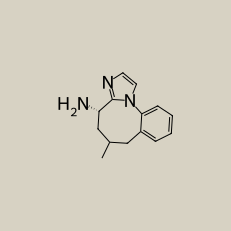 CC1Cc2ccccc2-n2ccnc2[C@@H](N)C1